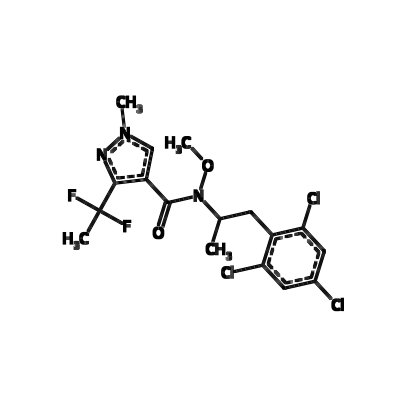 CON(C(=O)c1cn(C)nc1C(C)(F)F)C(C)Cc1c(Cl)cc(Cl)cc1Cl